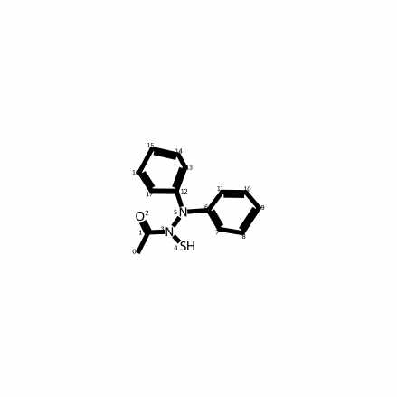 CC(=O)N(S)N(c1ccccc1)c1ccccc1